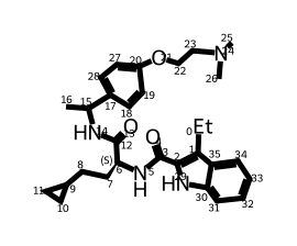 CCc1c(C(=O)N[C@@H](CCC2CC2)C(=O)NC(C)c2ccc(OCCN(C)C)cc2)[nH]c2ccccc12